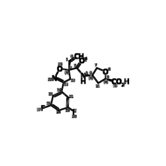 C=C[C@@]1(C(=O)N[C@H]2CO[C@@H](C(=O)O)C2)CC(c2cc(F)cc(F)c2)=NO1